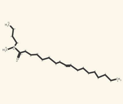 CCCCCCCCC=CCCCCCCCC(=O)N(C)CCCC